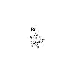 CC(=O)[O-].CC(=O)[O-].[Br-].[Ga+3]